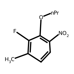 CCCOc1c([N+](=O)[O-])ccc(C)c1F